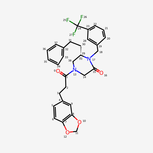 O=C(CCc1ccc2c(c1)OCO2)N1CC(=O)N(Cc2cccc(C(F)(F)F)c2)[C@@H](CCc2ccccc2)C1